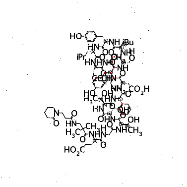 CC[C@H](C)[C@H](NC(=O)[C@H](CO)NC(=O)[C@H](Cc1ccc(O)cc1)NC(=O)[C@H](CC(=O)O)NC(=O)[C@H](CO)NC(=O)[C@@H](NC(=O)[C@H](Cc1ccccc1)NC(=O)[C@@H](NC(=O)CNC(=O)[C@H](CCC(=O)O)NC(=O)C(C)(C)CNC(=O)CCN1CCCCC1=O)[C@@H](C)O)[C@@H](C)O)C(=O)N[C@@H](Cc1ccc(O)cc1)C(=O)N[C@@H](CC(C)C)C(=O)N[C@@H](CC(=O)O)C(=O)N[C@H](C)CCCCN